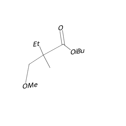 CCC(C)(COC)C(=O)OCC(C)C